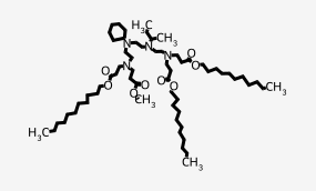 CCCCCCCCCCCOC(=O)CCN(CCC(=O)OCCCCCCCCCCC)CCN(CCN(CCN(CCC(=O)OC)CCC(=O)OCCCCCCCCCCC)C1CCCCC1)C(C)CC